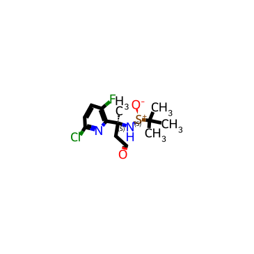 CC(C)(C)[S@@+]([O-])N[C@@](C)(CC=O)c1nc(Cl)ccc1F